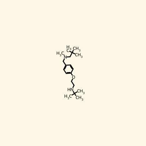 CN(Cc1ccc(OCCNC(C)(C)C)cc1)CC(C)(C)C